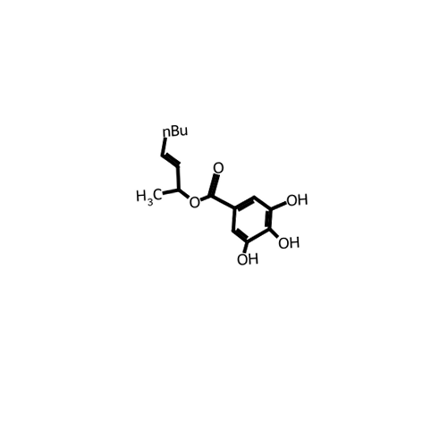 CCCCC=CC(C)OC(=O)c1cc(O)c(O)c(O)c1